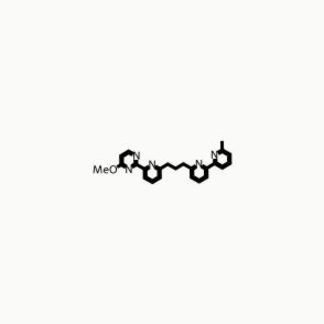 COc1ccnc(-c2cccc(CCCc3cccc(-c4cccc(C)n4)n3)n2)n1